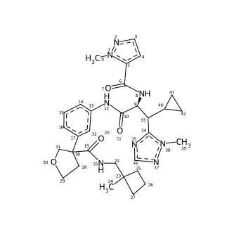 Cn1nccc1C(=O)N[C@H](C(=O)Nc1cccc(C2(C(=O)NCC3(C)CCC3)CCOC2)c1)C(c1ncnn1C)C1CC1